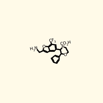 NCc1cc2cc(C3C(c4ccccc4)OCCN3C(=O)O)cc(C(F)(F)F)c2o1